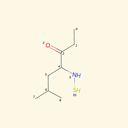 CCC(=O)C(CC(C)C)NS